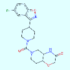 O=C1COC2CCN(C(=O)N3CCC(c4noc5ccc(F)cc45)CC3)CC2N1